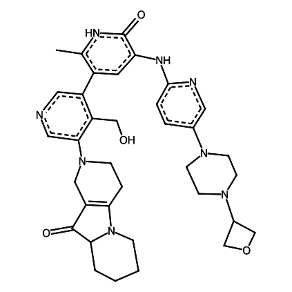 Cc1[nH]c(=O)c(Nc2ccc(N3CCN(C4COC4)CC3)cn2)cc1-c1cncc(N2CCC3=C(C2)C(=O)C2CCCCN32)c1CO